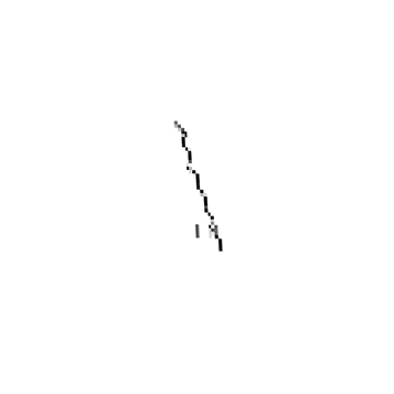 CCCCCCCCCCNCC